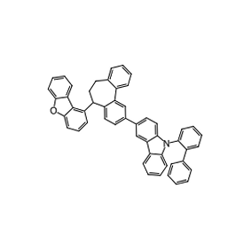 c1ccc(-c2ccccc2-n2c3ccccc3c3cc(-c4ccc5c(c4)-c4ccccc4CCC5c4cccc5oc6ccccc6c45)ccc32)cc1